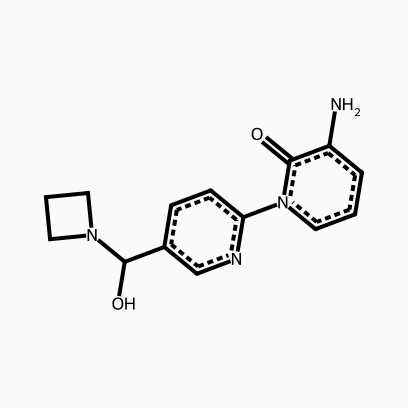 Nc1cccn(-c2ccc(C(O)N3CCC3)cn2)c1=O